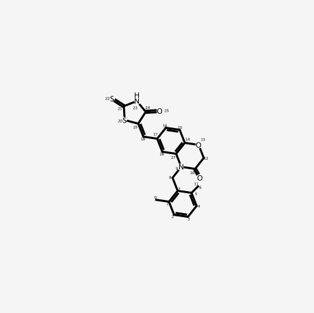 Cc1cccc(C)c1CN1C(=O)COc2ccc(/C=C3/SC(=S)NC3=O)cc21